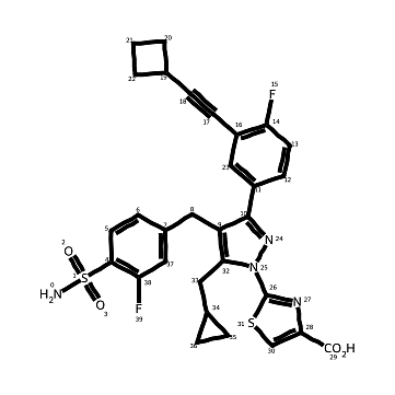 NS(=O)(=O)c1ccc(Cc2c(-c3ccc(F)c(C#CC4CCC4)c3)nn(-c3nc(C(=O)O)cs3)c2CC2CC2)cc1F